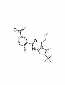 CCCCn1c(=NC(=O)c2cc([N+](=O)[O-])ccc2F)cc(C(C)(C)C)n1C